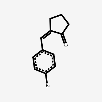 O=C1CCCC1=Cc1ccc(Br)cc1